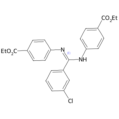 CCOC(=O)c1ccc(/N=C(/Nc2ccc(C(=O)OCC)cc2)c2cccc(Cl)c2)cc1